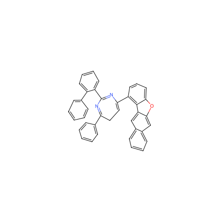 C1=C(c2cccc3oc4cc5ccccc5cc4c23)N=C(c2ccccc2-c2ccccc2)N=C(c2ccccc2)C1